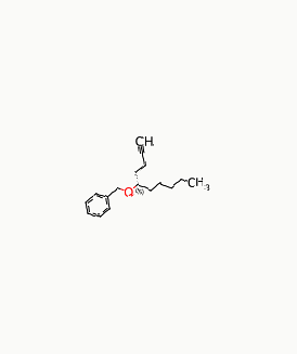 C#CCC[C@H](CCCCC)OCc1ccccc1